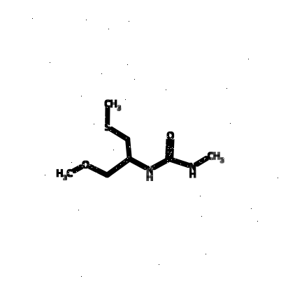 CNC(=O)NC(COC)CSC